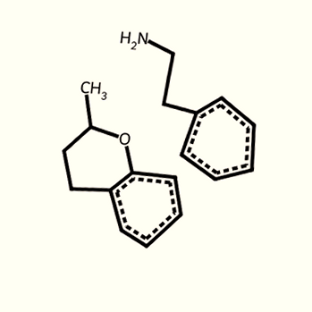 CC1CCc2ccccc2O1.NCCc1ccccc1